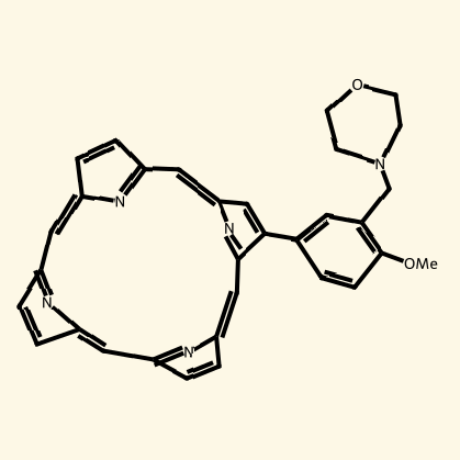 COc1ccc(C2=CC3=CC4=NC(=CC5=NC(=CC6=NC(=CC2=N3)C=C6)C=C5)C=C4)cc1CN1CCOCC1